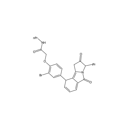 CCCNC(=O)COc1ccc(C2C=CC=C3C(=O)N4C(=C32)CC(=O)C4C(C)C)cc1Br